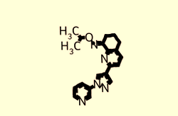 CC(C)ON=C1CCCc2ccc(-c3cnn(-c4cccnc4)c3)nc21